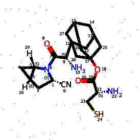 N#C[C@@H]1C[C@@H]2C[C@@H]2N1C(=O)[C@@H](N)C12CC3CC(CC(OC(=O)[C@H](N)CS)(C3)C1)C2